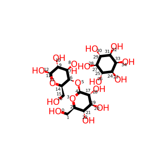 OC[C@H]1O[C@@H](O[C@H]2[C@H](O)[C@@H](O)[C@H](O)O[C@@H]2CO)[C@H](O)[C@@H](O)[C@@H]1O.O[C@H]1[C@H](O)[C@@H](O)[C@H](O)[C@@H](O)[C@H]1O